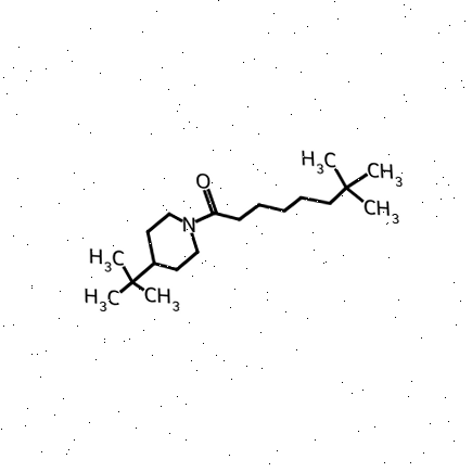 CC(C)(C)CCCCCC(=O)N1CCC(C(C)(C)C)CC1